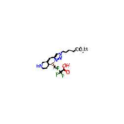 CCOC(=O)CCCCn1cc(C=C2CNCCC2SC(C)=O)nn1.O=C(O)C(F)(F)F